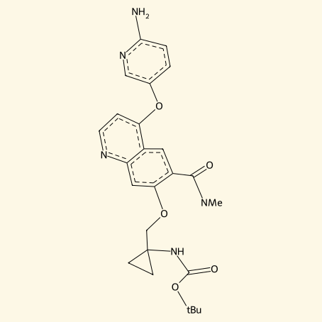 CNC(=O)c1cc2c(Oc3ccc(N)nc3)ccnc2cc1OCC1(NC(=O)OC(C)(C)C)CC1